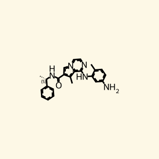 Cc1ccc(N)cc1Nc1nccn2cc(C(=O)N[C@@H](C)c3ccccc3)c(C)c12